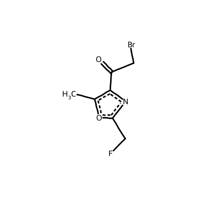 Cc1oc(CF)nc1C(=O)CBr